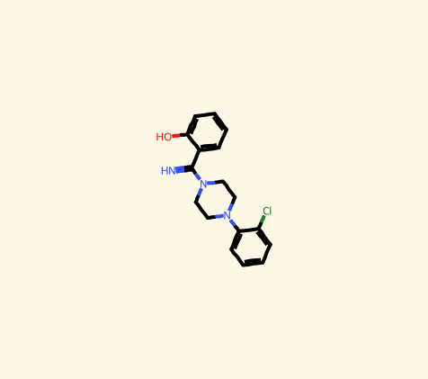 N=C(c1ccccc1O)N1CCN(c2ccccc2Cl)CC1